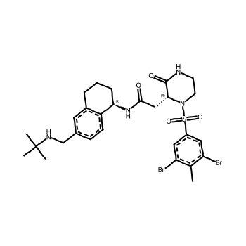 Cc1c(Br)cc(S(=O)(=O)N2CCNC(=O)[C@H]2CC(=O)N[C@@H]2CCCc3cc(CNC(C)(C)C)ccc32)cc1Br